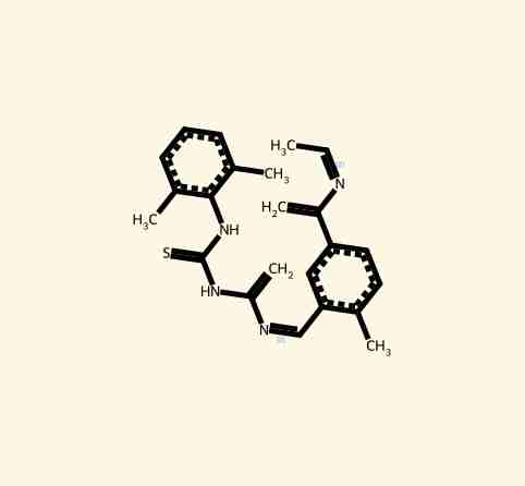 C=C(/N=C\c1cc(C(=C)/N=C\C)ccc1C)NC(=S)Nc1c(C)cccc1C